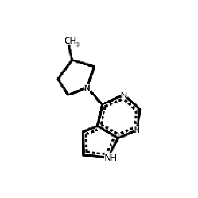 CC1CCN(c2ncnc3[nH]ccc23)C1